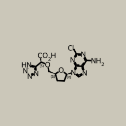 Nc1nc(Cl)nc2c1ncn2[C@H]1CC[C@@H](CO[C@H](C(=O)O)c2nnn[nH]2)O1